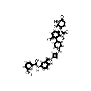 Cn1c(=O)n(C2CCC(=O)NC2=O)c2ccc(Cl)c(C3CCN(C[C@H]4C[C@H](n5cc6cc(NC(=O)c7cccc(C(F)(F)F)n7)ccc6n5)C4)CC3)c21